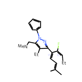 CC/C=C(F)\C(=C/C=C(C)C)c1nn(-c2ccccc2)c(CNC)c1CC